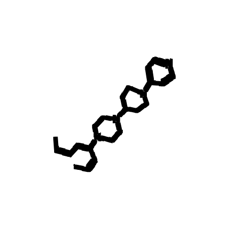 C\C=C/C=C(\C=C/C)N1CCN(C2CCN(c3ccncc3)CC2)CC1